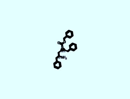 N[C@@H](Cc1ccccc1)C[C@@H]1[C@H](Cc2ccccc2)N1C(=O)OCc1ccccc1